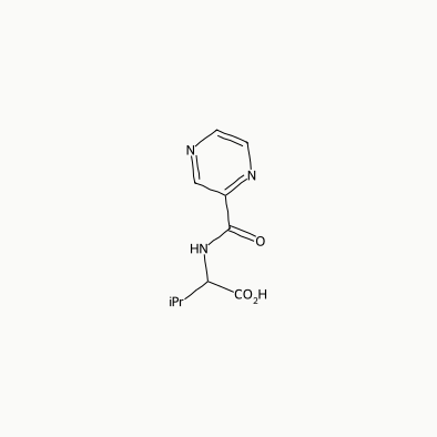 CC(C)C(NC(=O)c1cnccn1)C(=O)O